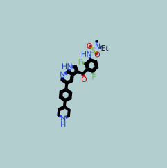 CCN(C)S(=O)(=O)Nc1ccc(F)c(C(=O)c2c[nH]c3ncc(-c4ccc(C5=CCNCC5)cc4)cc23)c1F